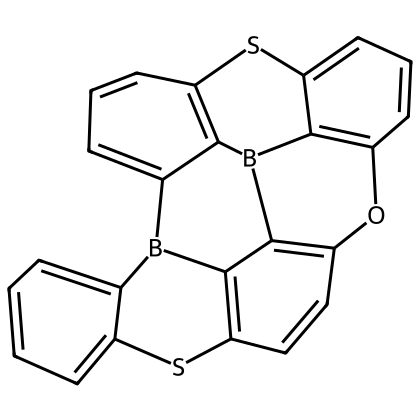 c1ccc2c(c1)Sc1ccc3c4c1B2c1cccc2c1B4c1c(cccc1S2)O3